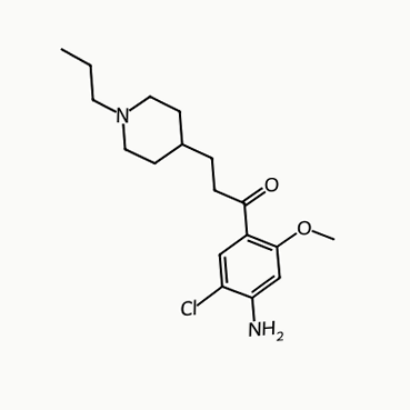 CCCN1CCC(CCC(=O)c2cc(Cl)c(N)cc2OC)CC1